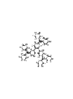 c1ccc(N(c2ccccc2)c2ccc3c(c2)c2ccc(N(c4ccccc4)c4ccccc4)cc2c2ccc(N(c4ccccc4)c4ccccc4)cc32)cc1